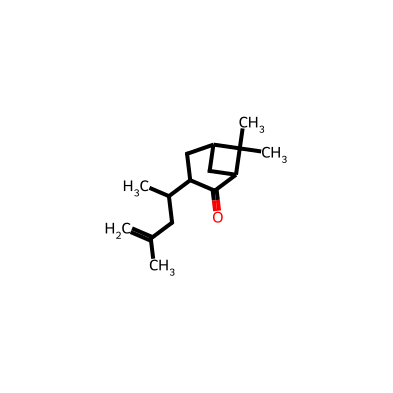 C=C(C)CC(C)C1CC2CC(C1=O)C2(C)C